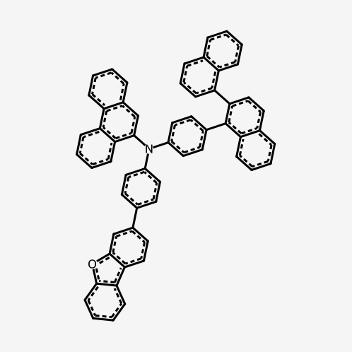 c1ccc2c(-c3ccc4ccccc4c3-c3ccc(N(c4ccc(-c5ccc6c(c5)oc5ccccc56)cc4)c4cc5ccccc5c5ccccc45)cc3)cccc2c1